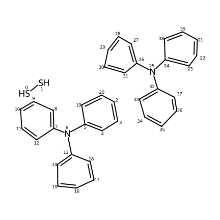 SS.c1ccc(N(c2ccccc2)c2ccccc2)cc1.c1ccc(N(c2ccccc2)c2ccccc2)cc1